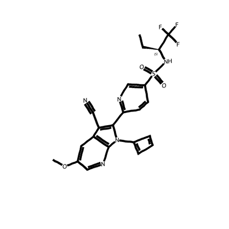 CC[C@H](NS(=O)(=O)c1ccc(-c2c(C#N)c3cc(OC)cnc3n2C2=CC=C2)nc1)C(F)(F)F